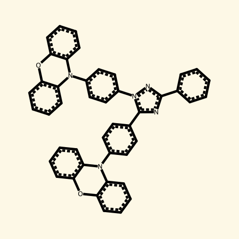 c1ccc(-c2nc(-c3ccc(N4c5ccccc5Oc5ccccc54)cc3)n(-c3ccc(N4c5ccccc5Oc5ccccc54)cc3)n2)cc1